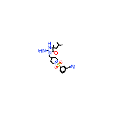 CC(C)CC1(C)NC(=N)N(CC2CCN(S(=O)(=O)c3cccc(C#N)c3)CC2)C1=O